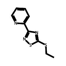 CCSc1nc(-c2ccccn2)ns1